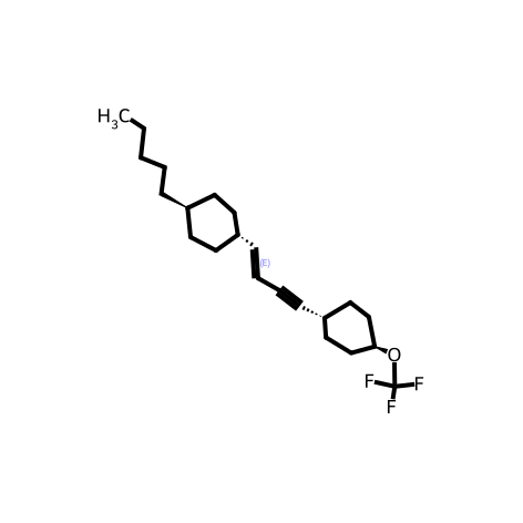 CCCCC[C@H]1CC[C@H](/C=C/C#C[C@H]2CC[C@H](OC(F)(F)F)CC2)CC1